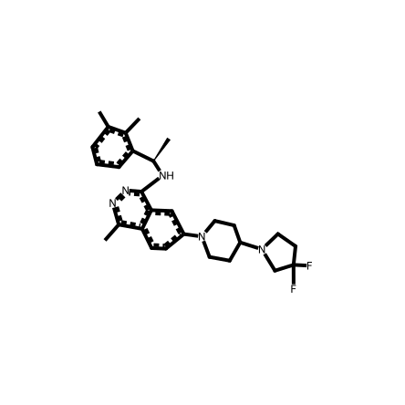 Cc1cccc([C@@H](C)Nc2nnc(C)c3ccc(N4CCC(N5CCC(F)(F)C5)CC4)cc23)c1C